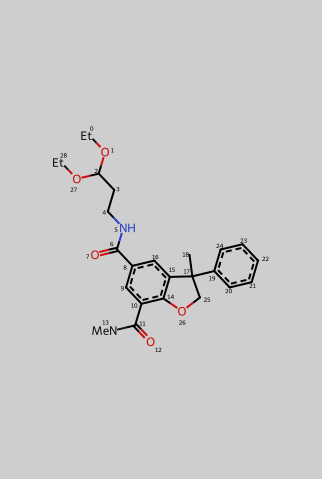 CCOC(CCNC(=O)c1cc(C(=O)NC)c2c(c1)C(C)(c1ccccc1)CO2)OCC